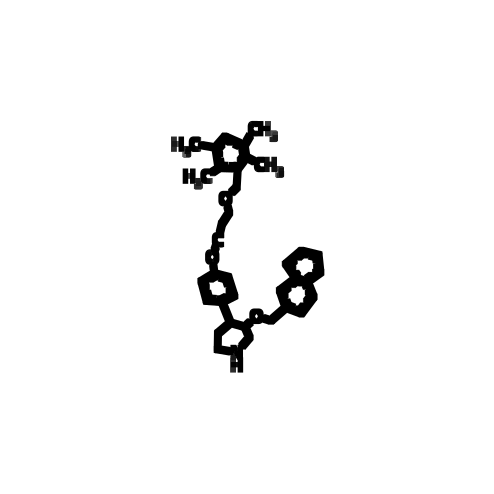 Cc1cc(C)c(C)c(COCCCOc2ccc(C3CCNCC3OCc3ccc4ccccc4c3)cc2)c1C